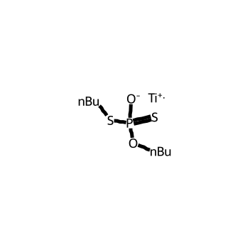 CCCCOP([O-])(=S)SCCCC.[Ti+]